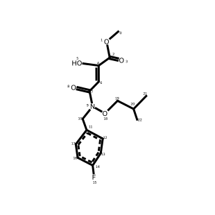 COC(=O)C(O)=CC(=O)N(Cc1ccc(F)cc1)OCC(C)C